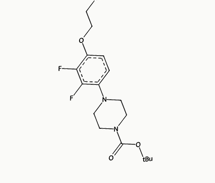 COCCOc1ccc(N2CCN(C(=O)OC(C)(C)C)CC2)c(F)c1F